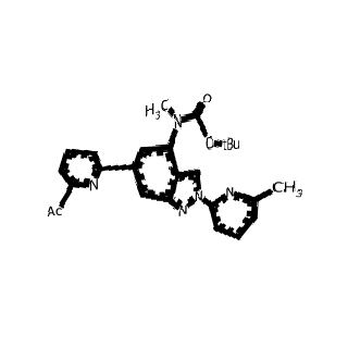 CC(=O)c1cccc(-c2cc(N(C)C(=O)OC(C)(C)C)c3cn(-c4cccc(C)n4)nc3c2)n1